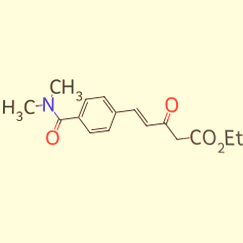 CCOC(=O)CC(=O)C=Cc1ccc(C(=O)N(C)C)cc1